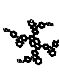 CC(C)(C)c1ccc(N2c3ccc(-c4cc(-c5ccc6c(c5)C5(C)CCCCC5(C)N6c5ccc(C(C)(C)C)cc5)c5ccc6c(-c7ccc8c(c7)C7(C)CCCCC7(C)N8c7ccc(C(C)(C)C)cc7)cc(-c7ccc8c(c7)C7(C)CCCCC7(C)N8c7ccc(C(C)(C)C)cc7)c7ccc4c5c76)cc3C3(C)CCCCC23C)cc1